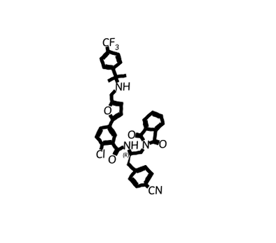 CC(C)(NCc1ccc(-c2ccc(Cl)c(C(=O)N[C@H](Cc3ccc(C#N)cc3)CN3C(=O)c4ccccc4C3=O)c2)o1)c1ccc(C(F)(F)F)cc1